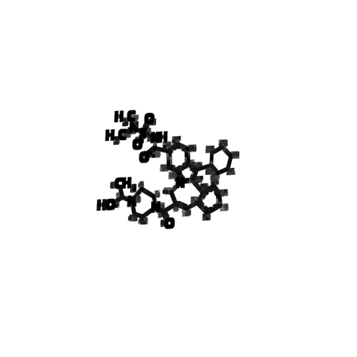 CC(O)N1CCN(C(=O)C2=Cc3ccccc3-c3c(C4CCCCC4)c4ccc(C(=O)NS(=O)(=O)N(C)C)cc4n3C2)CC1